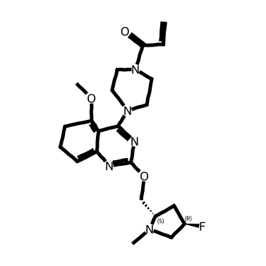 C=CC(=O)N1CCN(c2nc(OC[C@@H]3C[C@@H](F)CN3C)nc3c2=C(OC)CCC=3)CC1